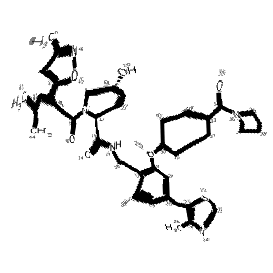 Cc1cc(C(C(=O)N2C[C@H](O)C[C@H]2C(=O)NCc2ccc(-c3scnc3C)cc2OC2CCC(C(=O)N3CCC3)CC2)C(C)C)on1